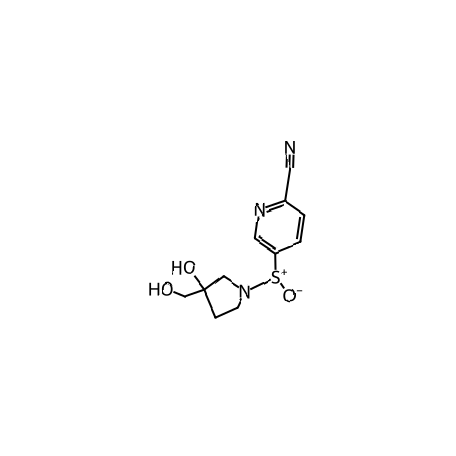 N#Cc1ccc([S+]([O-])N2CCC(O)(CO)C2)cn1